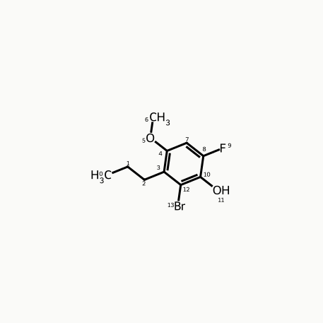 CCCc1c(OC)cc(F)c(O)c1Br